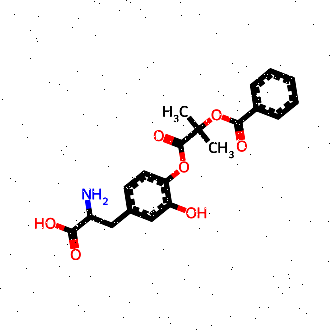 CC(C)(OC(=O)c1ccccc1)C(=O)Oc1ccc(CC(N)C(=O)O)cc1O